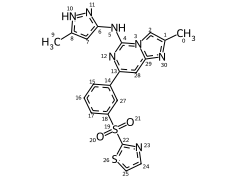 Cc1cn2c(Nc3cc(C)[nH]n3)nc(-c3cccc(S(=O)(=O)c4nccs4)c3)cc2n1